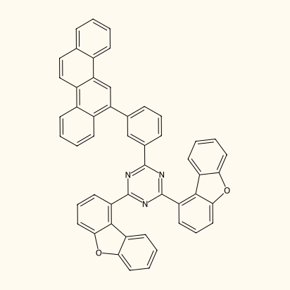 c1cc(-c2nc(-c3cccc4oc5ccccc5c34)nc(-c3cccc4oc5ccccc5c34)n2)cc(-c2cc3c4ccccc4ccc3c3ccccc23)c1